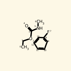 CCOC(=O)NC.Fc1ccccc1